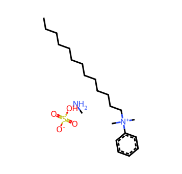 CCCCCCCCCCCCC[N+](C)(C)c1ccccc1.CN.O=S(=O)([O-])O